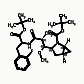 CO[C@H]([C@@H](C)C(=O)NC(Cc1ccccc1F)C(=O)OC(C)(C)C)[C@@H]1C[C@@H]2C[C@@H]2N1C(=O)OC(C)(C)C